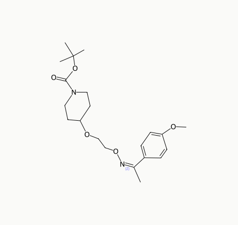 COc1ccc(/C(C)=N\OCCOC2CCN(C(=O)OC(C)(C)C)CC2)cc1